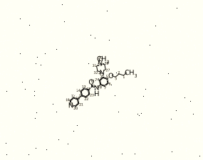 CCCCOc1ccc(NC(=O)c2ccc(-c3ccncc3)cc2)cc1N1CCN(C)CC1